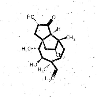 C=C[C@]1(C)CC[C@]2(C)[C@H](C)C[C@]3(C[C@H](O)C(=O)[C@@H]23)[C@@H](C)[C@@H]1O